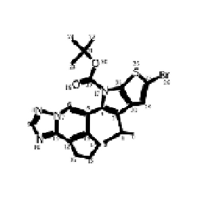 CC(C)c1c(-c2cn3ncnc3c3c2CCC3)n(C(=O)OC(C)(C)C)c2sc(Br)cc12